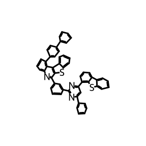 c1ccc(-c2ccc(-c3cccc4nc(-c5cccc(-c6nc(-c7ccccc7)cc(-c7cccc8c7sc7ccccc78)n6)c5)c5sc6ccccc6c5c34)cc2)cc1